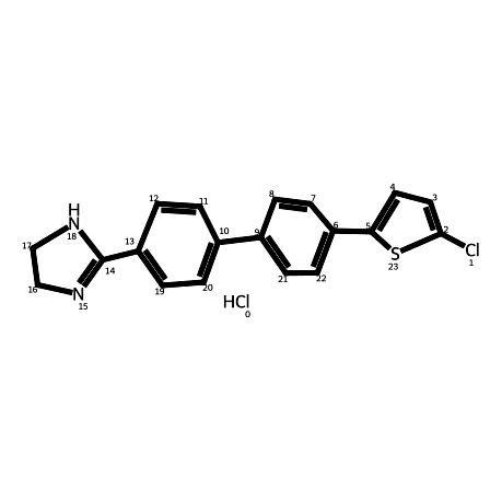 Cl.Clc1ccc(-c2ccc(-c3ccc(C4=NCCN4)cc3)cc2)s1